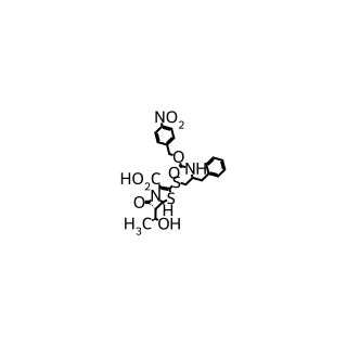 C[C@H](O)[C@@H]1C(=O)N2C(C(=O)O)=C(SCC(Cc3ccccc3)NC(=O)OCc3ccc([N+](=O)[O-])cc3)S[C@H]12